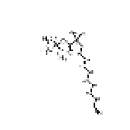 CC(C)(C)OC(=O)C1(CCCCCCCCCCBr)CC1